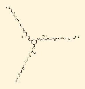 OCCOCCOCCOCCOCC(O)COC1CC(OCC(O)COCCOCCOCCOCCO)CC(OCC(O)COCCOCCOCCOCCO)C1